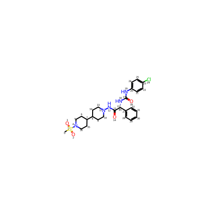 CS(=O)(=O)N1CCC(C2CCN(NC(=O)[C@H](NC(=O)Nc3ccc(Cl)cc3)c3ccccc3)CC2)CC1